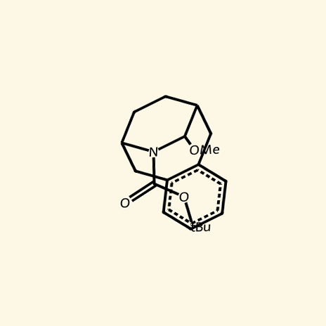 COC1C2CCC(Cc3ccccc3C2)N1C(=O)OC(C)(C)C